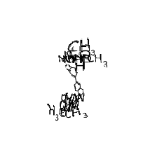 CCCN(Cc1ncc(-c2ccc3cc(-c4ccc5c(c4)CCc4nc(CN(CCC)C(=O)[C@H](NC(=O)OC)c6ccccc6)[nH]c4-5)ccc3c2)[nH]1)C(=O)CNC(=O)OC